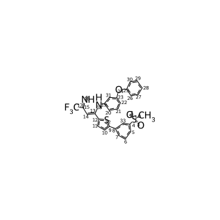 CS(=O)(=O)c1cccc(-c2ccc(/C(=C/C(=N)C(F)(F)F)Nc3cccc(Oc4ccccc4)c3)s2)c1